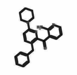 Nc1ncccc1C(=O)c1nc(N2CCCCC2)ccc1Cc1ccccc1